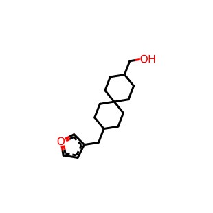 OCC1CCC2(CC1)CCC(Cc1ccoc1)CC2